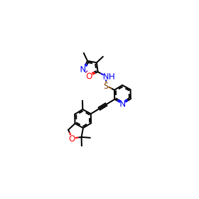 Cc1cc2c(cc1C#Cc1ncccc1SNc1onc(C)c1C)C(C)(C)OC2